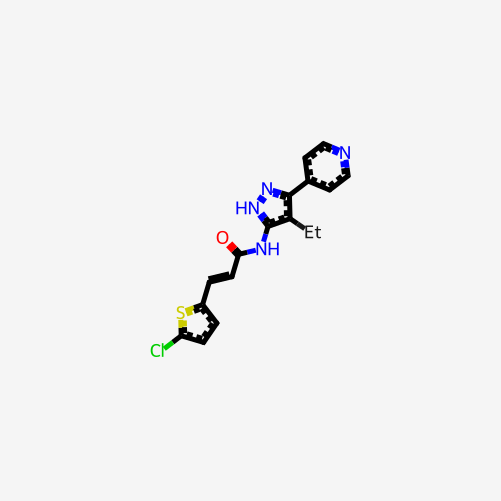 CCc1c(-c2ccncc2)n[nH]c1NC(=O)C=Cc1ccc(Cl)s1